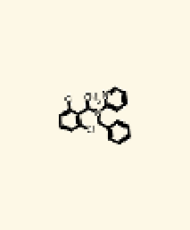 C=C(c1c(Cl)cccc1Cl)N(Cc1ccccc1)c1ccccn1